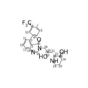 O=c1c2c(-c3cccc(C(F)(F)F)c3)cccc2ncn1C[C@@H](O)C[C@H]1NCCC[C@@H]1O